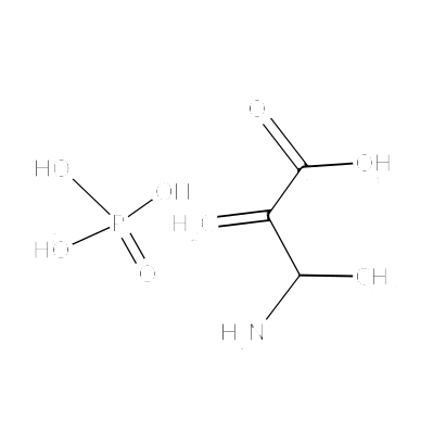 C=C(C(=O)O)C(C)N.O=P(O)(O)O